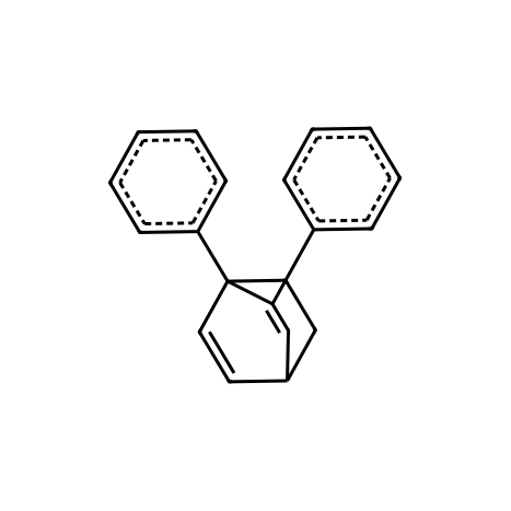 C1=CC2(c3ccccc3)CCC1C=C2c1ccccc1